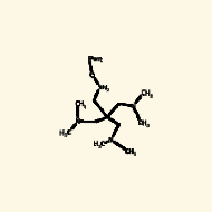 CCCC(C)O[SiH2]CC(CN(C)C)(CN(C)C)CN(C)C